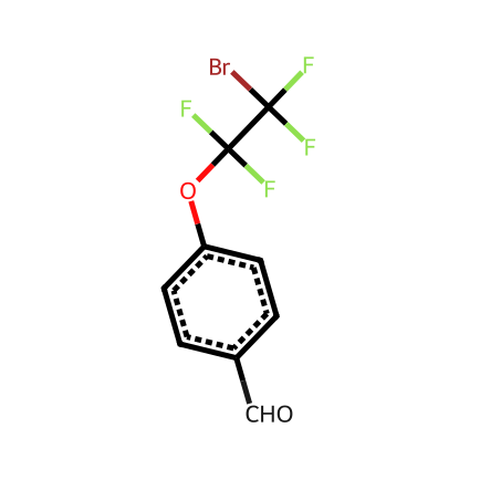 O=Cc1ccc(OC(F)(F)C(F)(F)Br)cc1